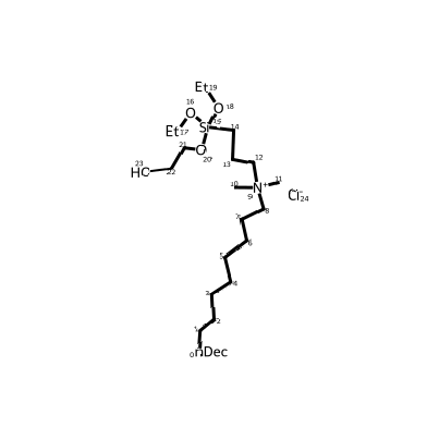 CCCCCCCCCCCCCCCCCC[N+](C)(C)CCC[Si](OCC)(OCC)OCCO.[Cl-]